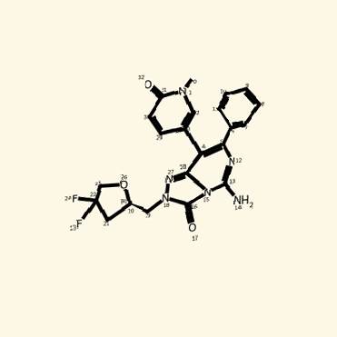 Cn1cc(-c2c(-c3ccccc3)nc(N)n3c(=O)n(C[C@H]4CC(F)(F)CO4)nc23)ccc1=O